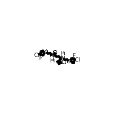 O=C(CCC(NC(=O)COc1ccc(Cl)c(F)c1)C1CCC1)NCCOc1ccc(Cl)c(F)c1